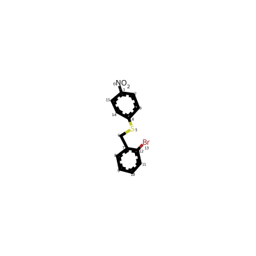 O=[N+]([O-])c1ccc(SCc2ccccc2Br)cc1